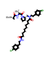 CN[C@@H](C)C(=O)N[C@H](C(=O)N1CCC[C@H]1CN(CCc1ccc(Br)cc1)C(=O)CCCCCCCCC(=O)NCCc1ccc(Br)cc1)C(C)(C)C